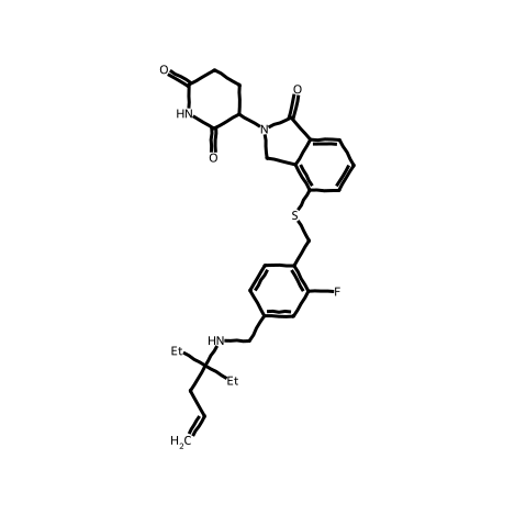 C=CCC(CC)(CC)NCc1ccc(CSc2cccc3c2CN(C2CCC(=O)NC2=O)C3=O)c(F)c1